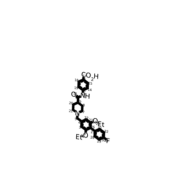 CCOc1cc(CN2CCC(C(=O)Nc3ccc(C(=O)O)cc3)CC2)cc(OCC)c1-c1ccc(F)cc1